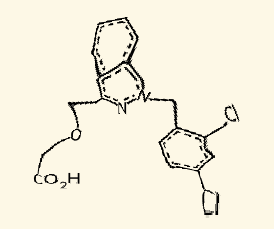 O=C(O)COCc1nn(Cc2ccc(Cl)cc2Cl)c2ccccc12